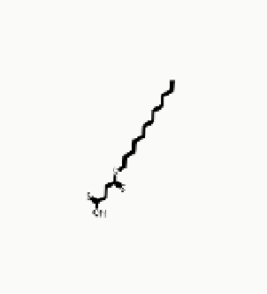 CCCCCCCCCCCCSC(=S)CCC(O)=S